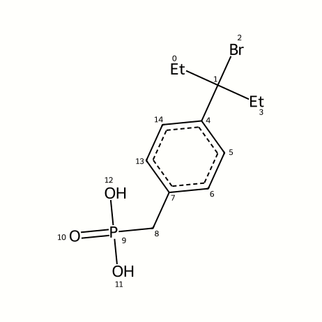 CCC(Br)(CC)c1ccc(CP(=O)(O)O)cc1